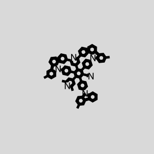 Cc1ccc2c(c1)c1ccccc1n2-c1ccc(-c2c(C#N)c(-c3ccc(-n4c5ccccc5c5cc(C)ccc54)cc3)c(-c3cc(-c4ccccc4)nc(-c4ccccc4)c3)c(-c3ccc(-n4c5ccccc5c5cc(C)ccc54)cc3)c2-c2cc(C)nc(C)c2)cc1